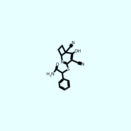 N#CC1=C(O)C2(C#N)CCC2N=C1SC(C(N)=O)c1ccccc1